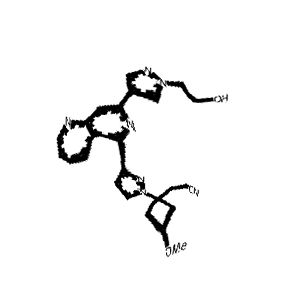 COC1CC(CC#N)(n2ccc(-c3nc(-c4cnn(CCO)c4)cc4ncccc34)n2)C1